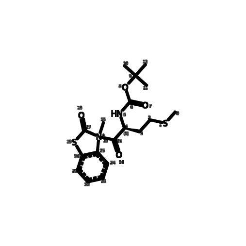 CSCC[C@H](NC(=O)OC(C)(C)C)C(=O)[N+]1(C)C(=O)Sc2ccccc21